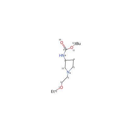 CCOCCN1CCC(NC(=O)OC(C)(C)C)C1